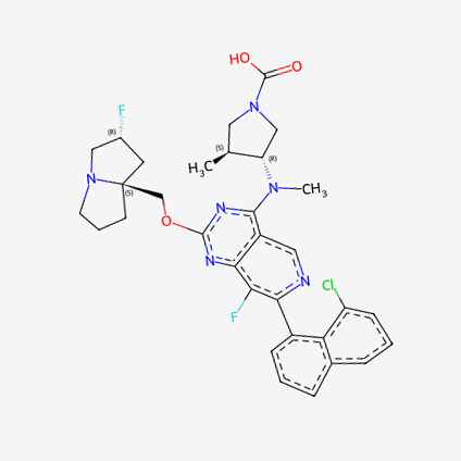 C[C@H]1CN(C(=O)O)C[C@@H]1N(C)c1nc(OC[C@@]23CCCN2C[C@H](F)C3)nc2c(F)c(-c3cccc4cccc(Cl)c34)ncc12